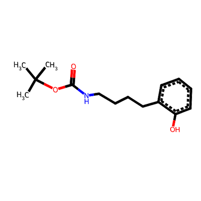 CC(C)(C)OC(=O)NCCCCc1ccccc1O